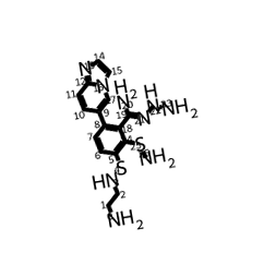 NCCNSc1ccc(-c2ccc3nccn3c2)c(/C(N)=N/NN)c1SN